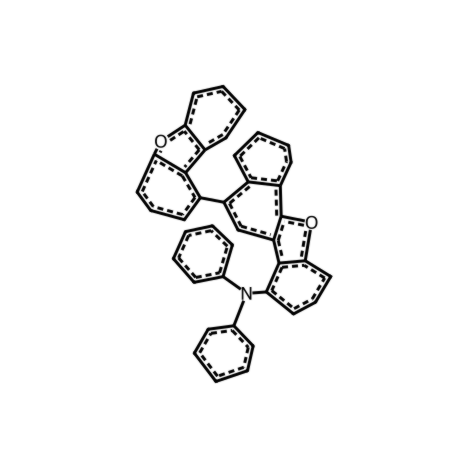 c1ccc(N(c2ccccc2)c2cccc3oc4c5ccccc5c(-c5cccc6oc7ccccc7c56)cc4c23)cc1